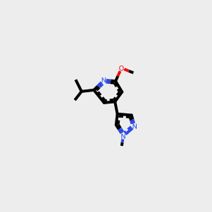 COc1cc(-c2cnn(C)c2)cc(C(C)C)n1